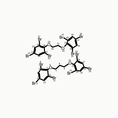 Brc1cc(Br)c(OCCCOc2c(Br)cc(Br)cc2Br)c(Br)c1.Brc1cc(Br)c(OCCOc2c(Br)cc(Br)cc2Br)c(Br)c1